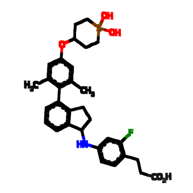 Cc1cc(OC2CCS(O)(O)CC2)cc(C)c1-c1cccc2c1CCC2Nc1ccc(CCC(=O)O)c(F)c1